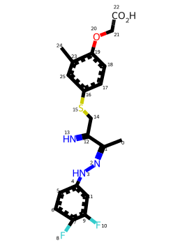 C/C(=N/Nc1ccc(F)c(F)c1)C(=N)CSc1ccc(OCC(=O)O)c(C)c1